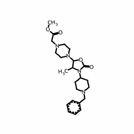 COC(=O)CN1CCN(C2OC(=O)N(C3CCN(Cc4ccccc4)CC3)C2C)CC1